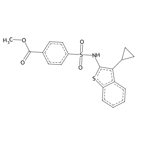 COC(=O)c1ccc(S(=O)(=O)Nc2sc3ccccc3c2C2CC2)cc1